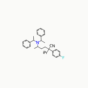 CC(CCC(C#N)(c1ccc(F)cc1)C(C)C)N(C(C)c1ccccc1)C(C)c1ccccc1